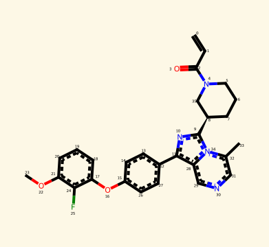 C=CC(=O)N1CCC[C@@H](c2nc(-c3ccc(Oc4cccc(OC)c4F)cc3)c3cncc(C)n23)C1